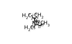 C=C/C=C(\C=C)n1nc(C=C)c(/C=C\C)n1